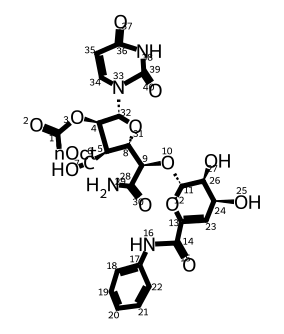 CCCCCCCCC(=O)O[C@@H]1[C@H](CO)[C@@H]([C@@H](O[C@H]2OC(C(=O)Nc3ccccc3)=C[C@H](O)[C@@H]2O)C(N)=O)O[C@H]1n1ccc(=O)[nH]c1=O